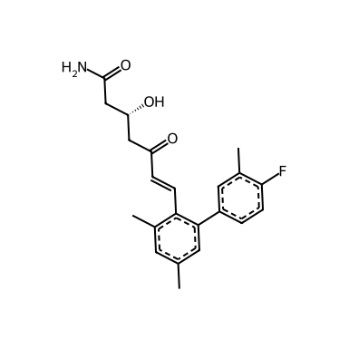 Cc1cc(C)c(/C=C/C(=O)C[C@@H](O)CC(N)=O)c(-c2ccc(F)c(C)c2)c1